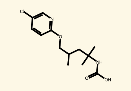 CC(COc1ccc(Cl)cn1)CC(C)(C)NC(=O)O